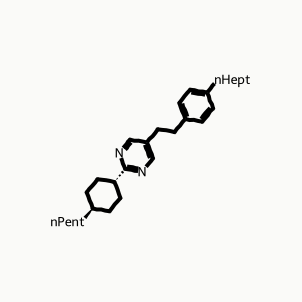 CCCCCCCc1ccc(CCc2cnc([C@H]3CC[C@H](CCCCC)CC3)nc2)cc1